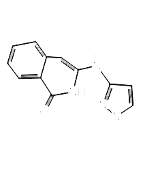 O=c1[nH]c(Nc2cc[nH]n2)cc2ccccc12